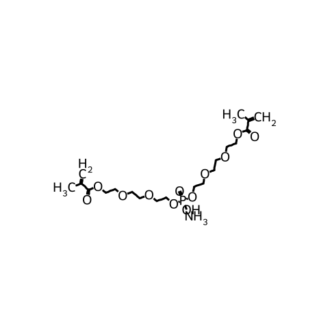 C=C(C)C(=O)OCCOCCOCCOP(=O)(O)OCCOCCOCCOC(=O)C(=C)C.N